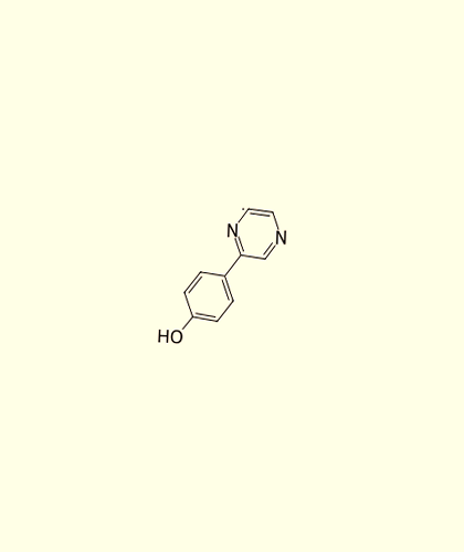 Oc1ccc(-c2cnc[c]n2)cc1